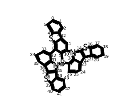 c1ccc2c(c1)sc1c3c4c(cc12)-n1c2sc5ccccc5c2c2cccc(c21)B4n1c2c-3cccc2c2sc3ccccc3c21